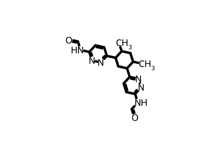 CC1CC(C)C(c2ccc(NC=O)nn2)CC1c1ccc(NC=O)nn1